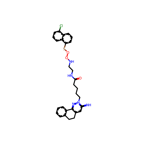 N=c1cc2c(nn1CCCCC(=O)NCCNOOSc1cccc3c(Cl)cccc13)-c1ccccc1CC2